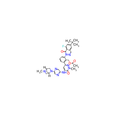 CC(=O)OCc1c(-c2cc(Nc3cnc(N4C[C@@H]5C[C@H]4CN5C)cn3)c(=O)n(C)n2)cccc1-n1ncc2cc(C(C)(C)C)cc(F)c2c1=O